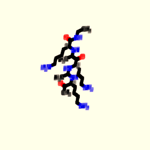 CCNC(=O)[C@H](CCCCN)NC(C)C(=O)[C@H](CCCCN)NC(C)N[C@@H](CCCCN)C(C)=O